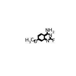 COc1ccc2c(N)nc(F)nc2c1